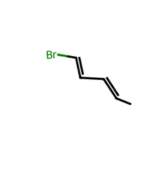 C/C=C/C=C/Br